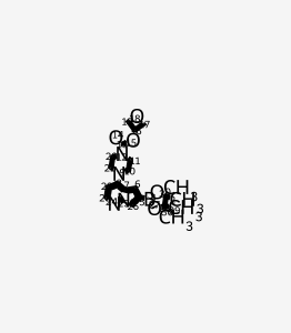 CC1(C)OB(c2cc3c(N4CCN(C(=O)OC5COC5)CC4)ccnn3c2)OC1(C)C